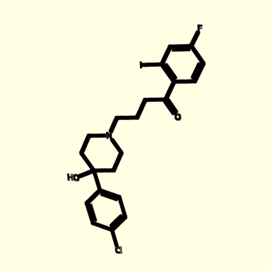 O=C(CCCN1CCC(O)(c2ccc(Cl)cc2)CC1)c1ccc(F)cc1I